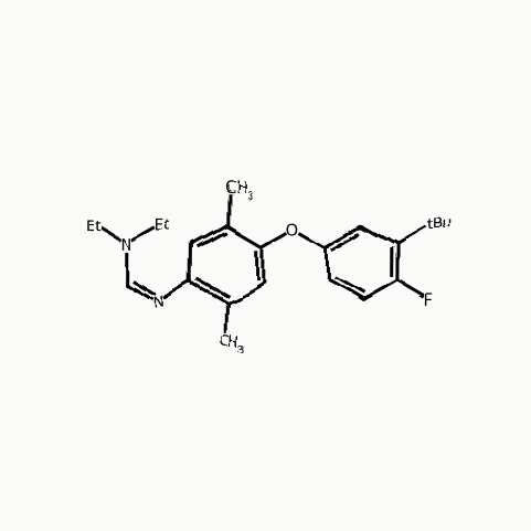 CCN(/C=N\c1cc(C)c(Oc2ccc(F)c(C(C)(C)C)c2)cc1C)CC